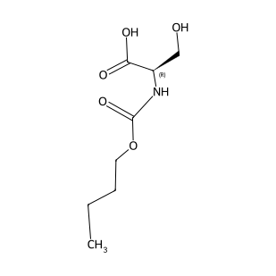 CCCCOC(=O)N[C@H](CO)C(=O)O